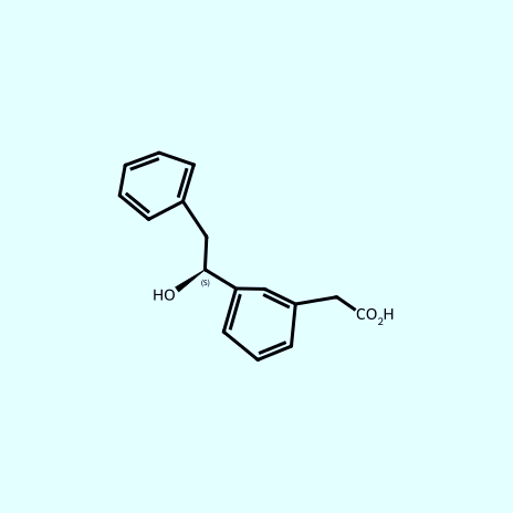 O=C(O)Cc1cccc([C@@H](O)Cc2ccccc2)c1